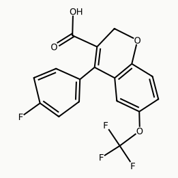 O=C(O)C1=C(c2ccc(F)cc2)c2cc(OC(F)(F)F)ccc2OC1